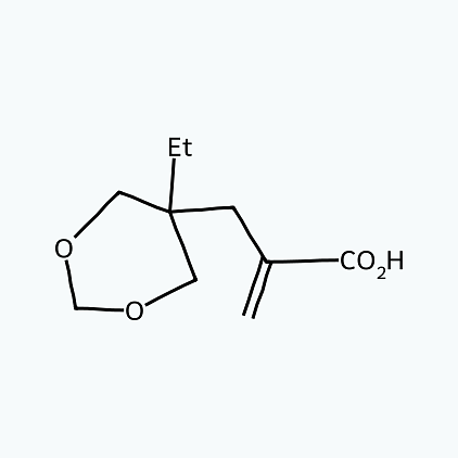 C=C(CC1(CC)COCOC1)C(=O)O